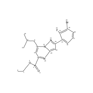 CCOC(=O)c1cc(CC(C)C)n2nc(-c3cccc(Br)c3F)cc2n1